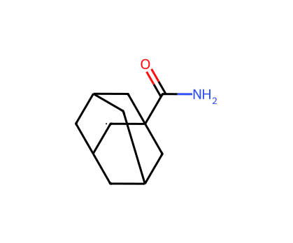 NC(=O)C12[CH]C3CC(CC(C3)C1)C2